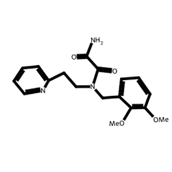 COc1cccc(CN(CCc2ccccn2)C(=O)C(N)=O)c1OC